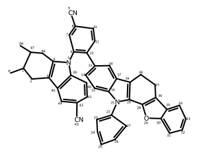 CC1Cc2c(n(-c3cc(C#N)ccc3-c3ccc4c(c3)c3c(n4-c4ccccc4)-c4oc5ccccc5c4CC3)c3ccc(C#N)cc23)CC1C